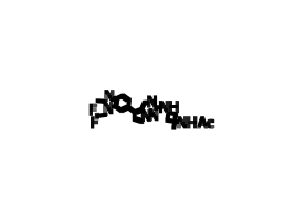 CC(=O)NC1(C)CC(Nc2ncc3c(-c4ccc5nc(C)n(CC(F)F)c5c4)ccn3n2)C1